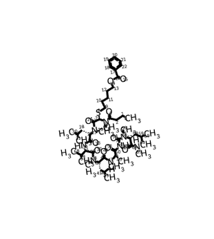 CCCC(=O)N(C)[C@H](SCCCCCOC(=O)c1ccccc1)C(=O)N(C)[C@@H](CC(C)C)C(=O)N[C@H](C(=O)N(C)[C@@H](CC(C)C)C(=O)N[C@H](C)C(=O)NC(=O)N(C)[C@@H](CC(C)C)C(=O)NC)C(C)C